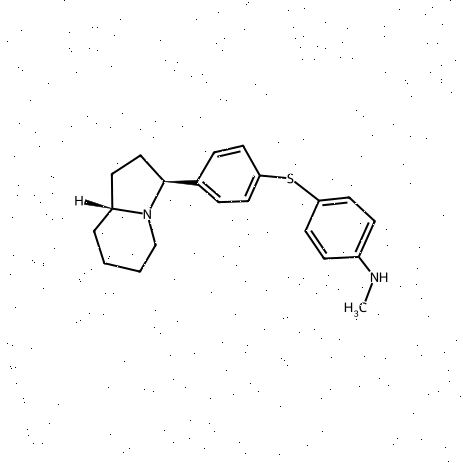 CNc1ccc(Sc2ccc([C@@H]3CC[C@H]4CCCCN43)cc2)cc1